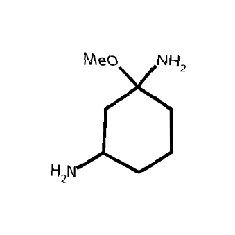 COC1(N)CCCC(N)C1